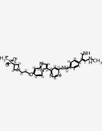 CN/C=C(\C=N)c1ccc(CNc2cc(-c3cnc4cc(OCCN5CC(S(C)(=O)=O)C5)ccn34)ncn2)cc1